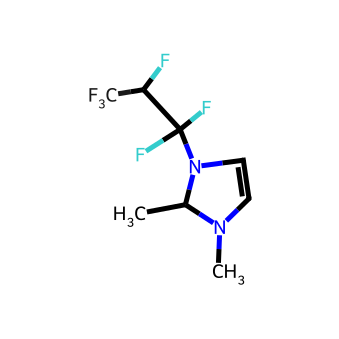 CC1N(C)C=CN1C(F)(F)C(F)C(F)(F)F